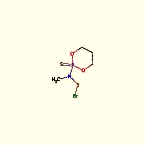 CN(SBr)P1(=S)OCCCO1